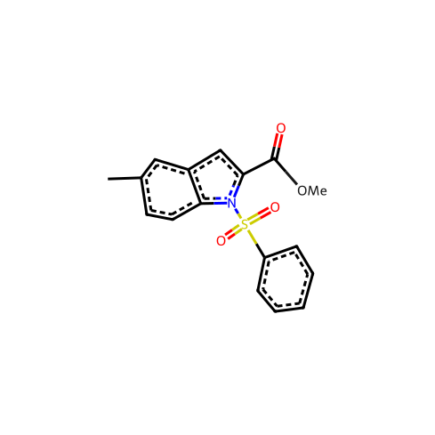 COC(=O)c1cc2cc(C)ccc2n1S(=O)(=O)c1ccccc1